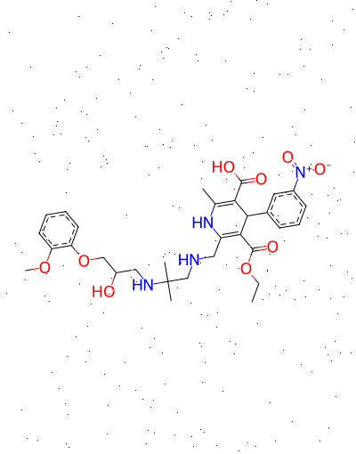 CCOC(=O)C1=C(CNCC(C)(C)NCC(O)COc2ccccc2OC)NC(C)=C(C(=O)O)C1c1cccc([N+](=O)[O-])c1